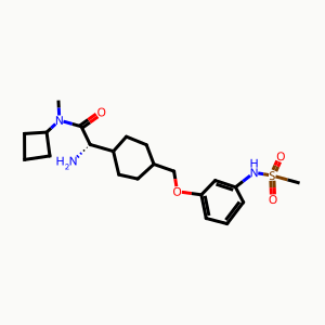 CN(C(=O)[C@@H](N)C1CCC(COc2cccc(NS(C)(=O)=O)c2)CC1)C1CCC1